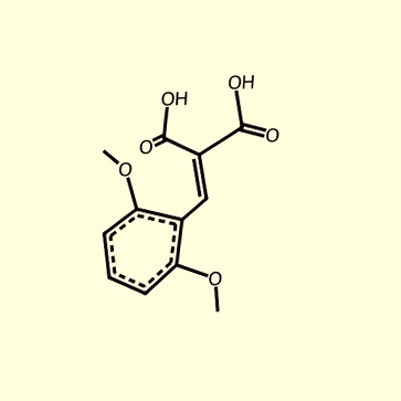 COc1cccc(OC)c1C=C(C(=O)O)C(=O)O